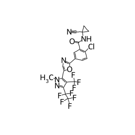 Cn1nc(C(F)(F)C(F)(F)F)c(C(F)(F)F)c1-c1cnc(-c2ccc(Cl)c(C(=O)NC3(C#N)CC3)c2)o1